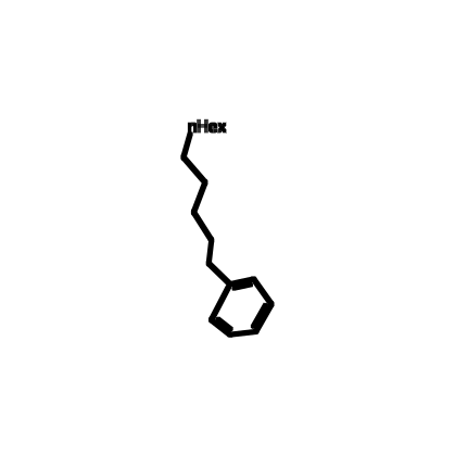 CCCCCCCCCCCc1ccccc1